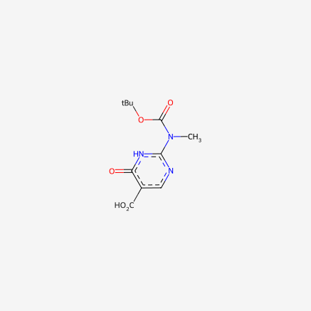 CN(C(=O)OC(C)(C)C)c1ncc(C(=O)O)c(=O)[nH]1